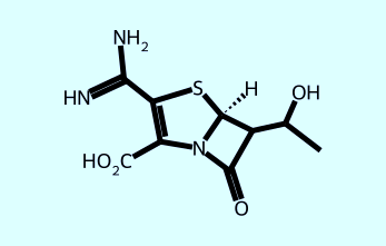 CC(O)C1C(=O)N2C(C(=O)O)=C(C(=N)N)S[C@@H]12